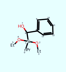 CCC[Si](OCC)(OCC)C(O)c1ccccc1